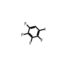 Fc1cc(I)c(F)c(F)c1F